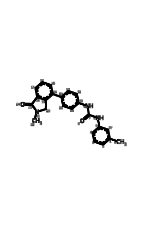 Cc1cccc(NC(=O)Nc2ccc(-c3cccc4c3CN(C)C4=O)cc2)c1